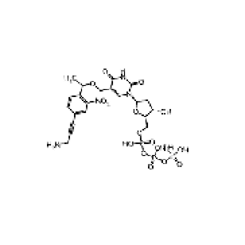 CC(OCc1cn([C@H]2C[C@H](O)[C@@H](COP(=O)(O)OP(=O)(O)OP(=O)(O)O)O2)c(=O)[nH]c1=O)c1ccc(C#CCN)cc1[N+](=O)[O-]